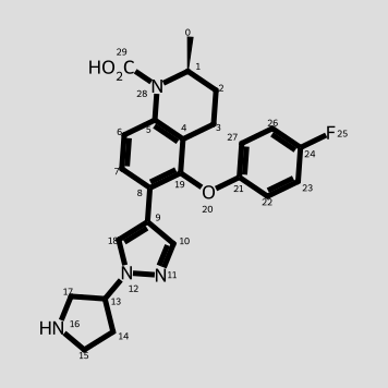 C[C@H]1CCc2c(ccc(-c3cnn(C4CCNC4)c3)c2Oc2ccc(F)cc2)N1C(=O)O